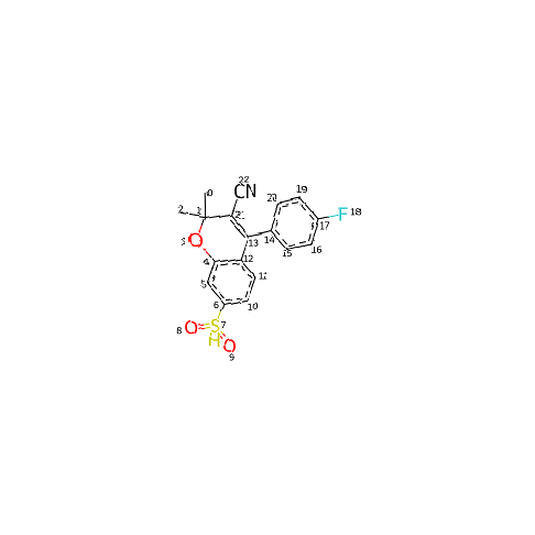 CC1(C)Oc2cc([SH](=O)=O)ccc2C(c2ccc(F)cc2)=C1C#N